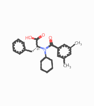 Cc1cc(C)cc(C(=O)N(C2CCCCC2)[C@H](Cc2ccccc2)C(=O)O)c1